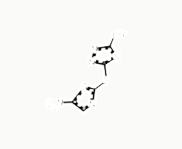 CCCc1nnc(Sc2ncc([N+](=O)[O-])s2)s1